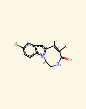 C/C1=C(\C)c2cc3cc(Cl)ccc3n2CCNC1=O